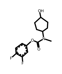 CN(C(=O)Oc1ccc(F)c(F)c1)C1CCC(O)CC1